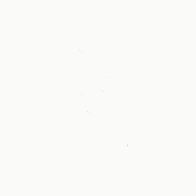 CC(C)(C)OCCOC(=O)N1CC[N+](Cc2ccc(C#N)cc2)(Cc2cnc[nH]2)CC1